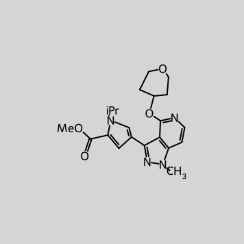 COC(=O)c1cc(-c2nn(C)c3ccnc(OC4CCOCC4)c23)cn1C(C)C